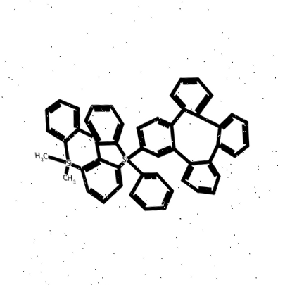 C[Si]1(C)c2ccccc2Oc2c1cccc2[Si](c1ccccc1)(c1ccccc1)c1ccc2c(c1)-c1ccccc1-c1ccccc1-c1ccccc1-2